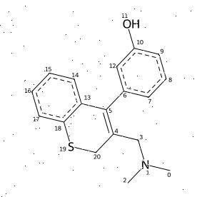 CN(C)CC1=C(c2cccc(O)c2)c2ccccc2SC1